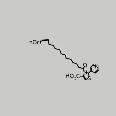 CCCCCCCC/C=C\CCCCCCCCCCCC(=O)N1C(C(=O)O)=CSC1c1ccncc1